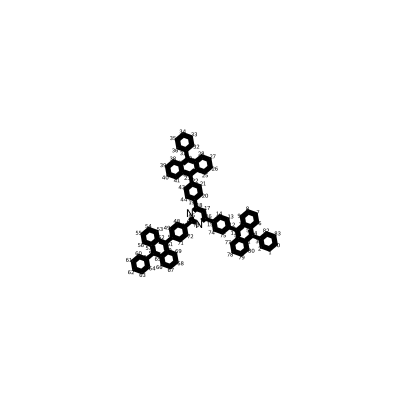 c1ccc(-c2c3ccccc3c(-c3ccc(-c4cc(-c5ccc(-c6c7ccccc7c(-c7ccccc7)c7ccccc67)cc5)nc(-c5ccc(-c6c7ccccc7c(-c7ccccc7)c7ccccc67)cc5)n4)cc3)c3ccccc23)cc1